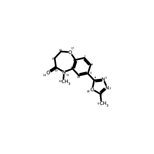 Cc1nnc(-c2ccc3c(c2)N(C)C(=O)CCO3)o1